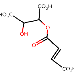 O=C(O)/C=C/C(=O)OC(C(=O)O)C(O)C(=O)O